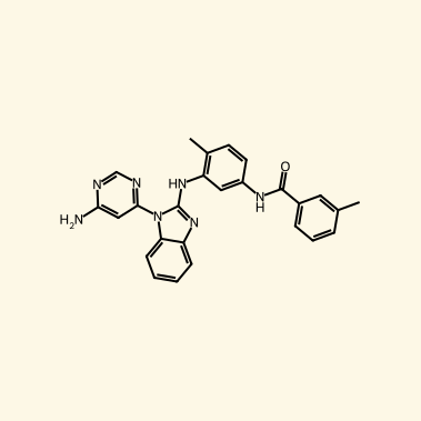 Cc1cccc(C(=O)Nc2ccc(C)c(Nc3nc4ccccc4n3-c3cc(N)ncn3)c2)c1